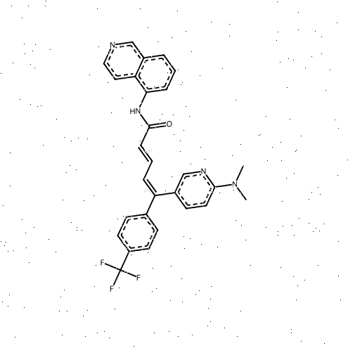 CN(C)c1ccc(/C(=C\C=C\C(=O)Nc2cccc3cnccc23)c2ccc(C(F)(F)F)cc2)cn1